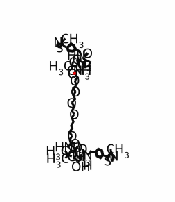 Cc1ncsc1-c1ccc(CNC(=O)[C@@H]2CCCN2C(=O)[C@@H](NC(=O)COCCOCCOCCOCCCCCOCC(=O)N[C@H](C(=O)N2CC(O)C[C@H]2C(=O)NCc2ccc(-c3scnc3C)cc2)C(C)(C)C)C(C)(C)C)cc1